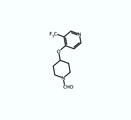 O=CN1CCC(Oc2ccncc2C(F)(F)F)CC1